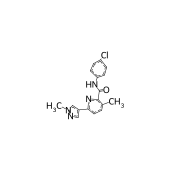 Cc1ccc(-c2cnn(C)c2)nc1C(=O)Nc1ccc(Cl)cc1